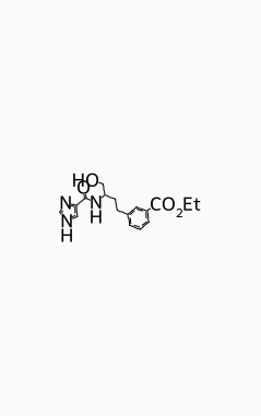 CCOC(=O)c1cccc(CCC(CO)NC(=O)c2c[nH]cn2)c1